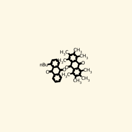 CCCCc1cccc2c1C(=O)c1ccccc1C2=O.Cc1c(C)c(C)c2c(c1C)C(=O)c1c(C)c(C)c(C)c(C)c1C2=O